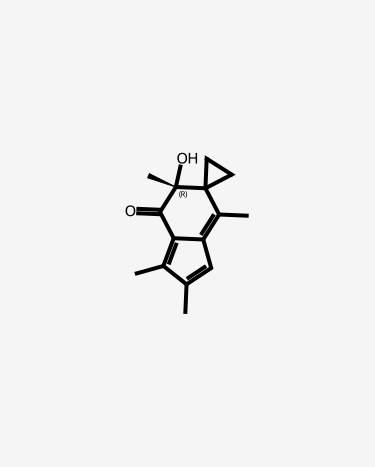 CC1=CC2=C(C)C3(CC3)[C@@](C)(O)C(=O)C2=C1C